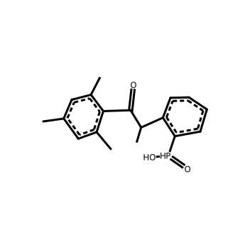 Cc1cc(C)c(C(=O)C(C)c2ccccc2[PH](=O)O)c(C)c1